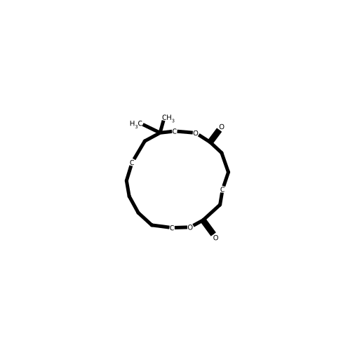 CC1(C)CCCCCCCOC(=O)CCCCC(=O)OC1